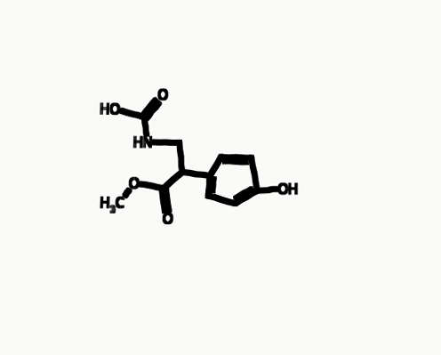 COC(=O)C(CNC(=O)O)c1ccc(O)cc1